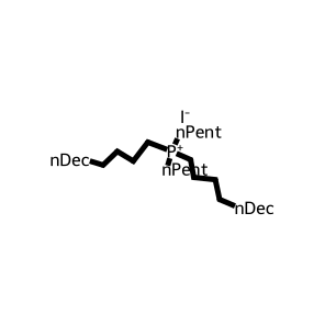 CCCCCCCCCCCCCC[P+](CCCCC)(CCCCC)CCCCCCCCCCCCCC.[I-]